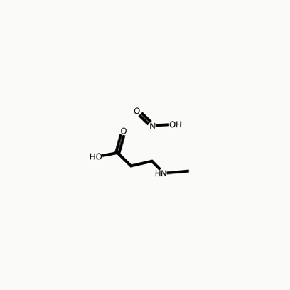 CNCCC(=O)O.O=NO